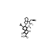 COc1c(N2CC3CCCC3(C(N)CC#N)C2)c(C2CC2)cc2c(=O)c(C(=O)O)c[nH]c12